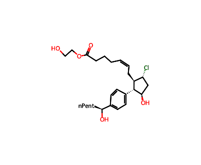 CCCCC[C@H](O)c1ccc([C@@H]2[C@@H](C/C=C\CCCC(=O)OCCO)[C@H](Cl)C[C@H]2O)cc1